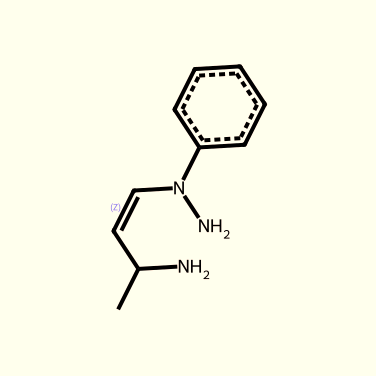 CC(N)/C=C\N(N)c1ccccc1